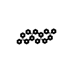 c1ccc(N(c2ccccc2)c2cccc(-c3cccc(N(c4ccccc4)c4cccc(-c5cccc(N(c6ccccc6)c6cccc(-c7cccc(N(c8ccccc8)c8ccccc8)c7)c6)c5)c4)c3)c2)cc1